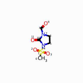 CS(=O)(=O)N1CCN(C=O)C1=O